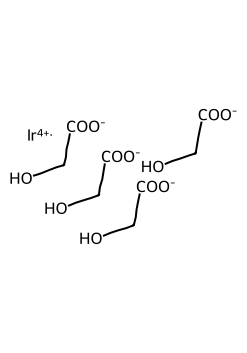 O=C([O-])CO.O=C([O-])CO.O=C([O-])CO.O=C([O-])CO.[Ir+4]